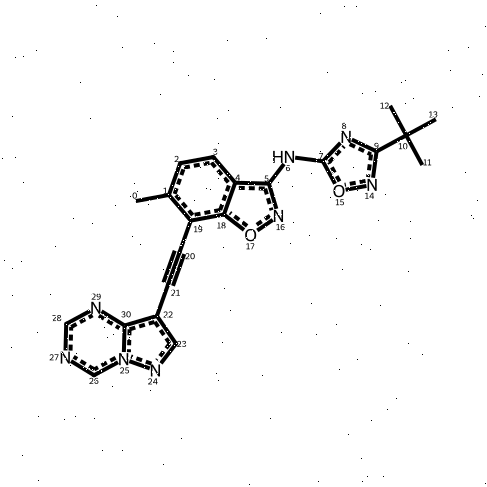 Cc1ccc2c(Nc3nc(C(C)(C)C)no3)noc2c1C#Cc1cnn2cncnc12